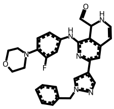 O=CC1NC=Cc2cc(-c3cnn(Cc4ccccc4)c3)nc(Nc3ccc(N4CCOCC4)c(F)c3)c21